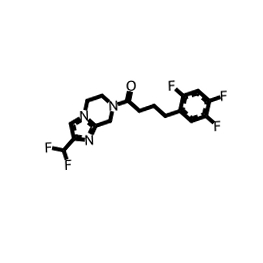 O=C(CCCc1cc(F)c(F)cc1F)N1CCn2cc(C(F)F)nc2C1